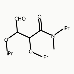 CC(C)OC(C=O)C(OC(C)C)C(=O)N(C)C(C)C